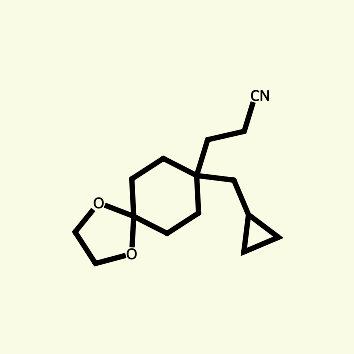 N#CCCC1(CC2CC2)CCC2(CC1)OCCO2